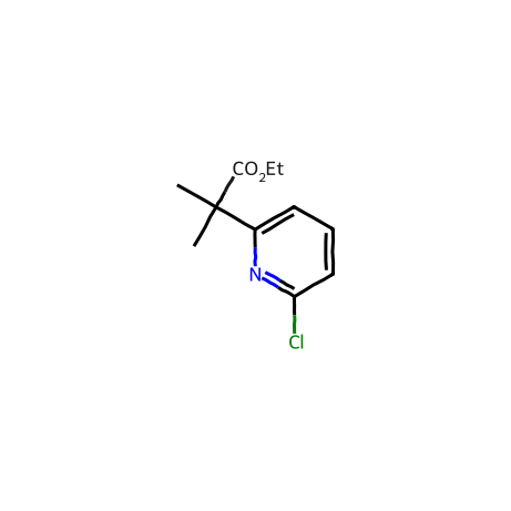 CCOC(=O)C(C)(C)c1cccc(Cl)n1